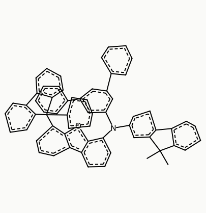 CC1(C)c2ccccc2-c2ccc(N(c3cc(-c4ccccc4)cc(-c4ccccc4)c3)c3cccc4c3oc3c(C5(c6ccccc6)c6ccccc6-c6ccccc65)cccc34)cc21